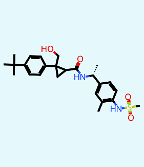 Cc1cc([C@@H](C)NC(=O)C2CC2(CO)c2ccc(C(C)(C)C)cc2)ccc1NS(C)(=O)=O